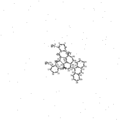 CC(C)c1cccc(C(C)C)c1N=C1C(=Nc2c(C(C)C)cccc2C(C)C)c2ccc(-c3c4ccccc4cc4ccccc34)c3cccc1c23